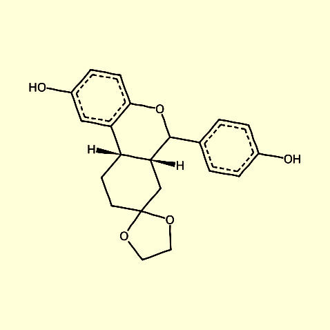 Oc1ccc(C2Oc3ccc(O)cc3[C@H]3CCC4(C[C@@H]23)OCCO4)cc1